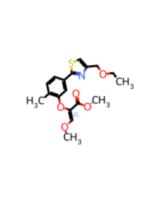 CCOCc1csc(-c2ccc(C)c(O/C(=C\OC)C(=O)OC)c2)n1